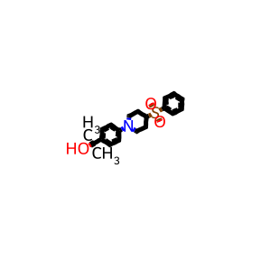 CC(C)(O)c1ccc(N2CCC(S(=O)(=O)c3ccccc3)CC2)cc1